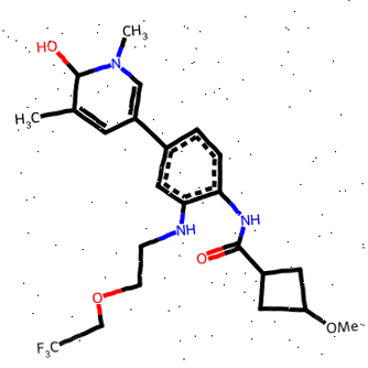 COC1CC(C(=O)Nc2ccc(C3=CN(C)C(O)C(C)=C3)cc2NCCOCC(F)(F)F)C1